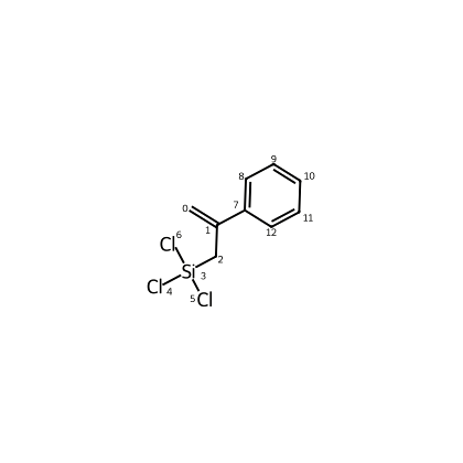 C=C(C[Si](Cl)(Cl)Cl)c1ccccc1